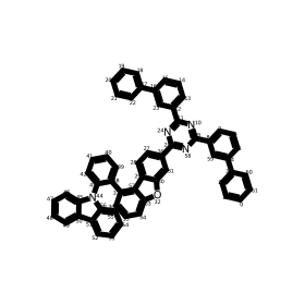 c1ccc(-c2cccc(-c3nc(-c4cccc(-c5ccccc5)c4)nc(-c4ccc5c(c4)oc4cccc(-c6ccccc6-n6c7ccccc7c7ccccc76)c45)n3)c2)cc1